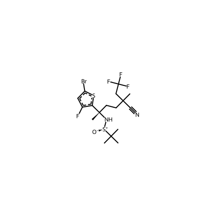 CC(C#N)(CC[C@](C)(N[S@+]([O-])C(C)(C)C)c1sc(Br)cc1F)CC(F)(F)F